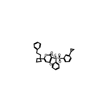 C[N+](c1ccccc1)(c1c(O)cc(C2(CCc3ccccc3)CCC2)oc1=O)S(=O)(=O)c1cccc(C2CC2)c1